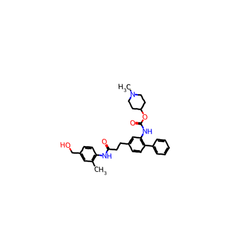 Cc1cc(CO)ccc1NC(=O)CCc1ccc(-c2ccccc2)c(NC(=O)OC2CCN(C)CC2)c1